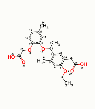 CCOc1cc(C)c(C(C)Oc2cc(C)ccc2OCC(=O)O)cc1CC(=O)O